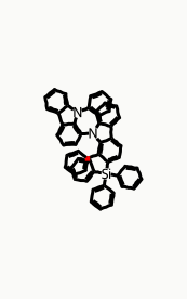 c1ccc(-c2c([Si](c3ccccc3)(c3ccccc3)c3ccccc3)ccc3c4ccccc4n(-c4cccc5c6ccccc6n(-c6ccccc6)c45)c23)cc1